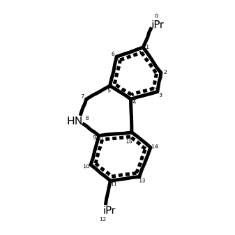 CC(C)c1ccc2c(c1)CNc1cc(C(C)C)ccc1-2